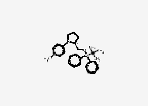 Cc1ccc(N2CCC[C@H]2CO[Si](c2ccccc2)(c2ccccc2)C(C)(C)C)cc1